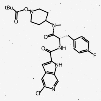 CN(C(=O)[C@H](Cc1ccc(F)cc1)NC(=O)c1cc2cc(Cl)ncc2[nH]1)C1CCN(OC(=O)C(C)(C)C)CC1